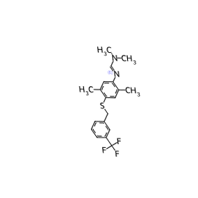 Cc1cc(SCc2cccc(C(F)(F)F)c2)c(C)cc1/N=C/N(C)C